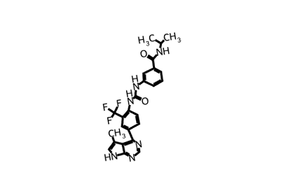 Cc1c[nH]c2ncnc(-c3ccc(NC(=O)Nc4cccc(C(=O)NC(C)C)c4)c(C(F)(F)F)c3)c12